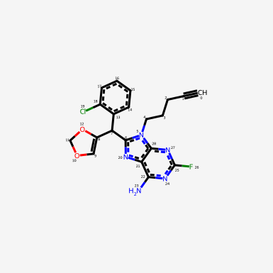 C#CCCCn1c(C(C2=COCO2)c2ccccc2Cl)nc2c(N)nc(F)nc21